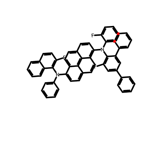 Fc1ccccc1N(c1c(F)cc(-c2ccccc2)cc1-c1ccccc1)c1ccc2ccc3c(N(c4ccccc4)c4c(F)ccc5ccccc45)ccc4ccc1c2c43